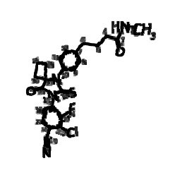 CNC(=O)CCCc1ccc(N2C(=S)N(c3ccc(C#N)c(Cl)c3F)C(=O)C23CCC3)cc1